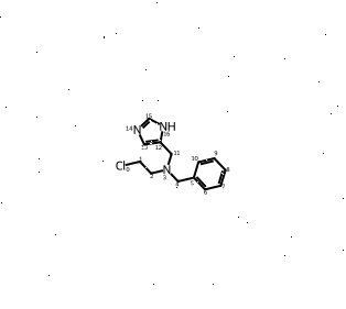 ClCCN(Cc1ccccc1)Cc1cnc[nH]1